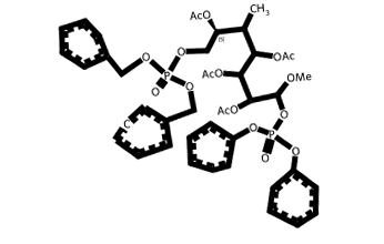 COC(OP(=O)(Oc1ccccc1)Oc1ccccc1)C(OC(C)=O)C(OC(C)=O)C(OC(C)=O)C(C)[C@@H](COP(=O)(OCc1ccccc1)OCc1ccccc1)OC(C)=O